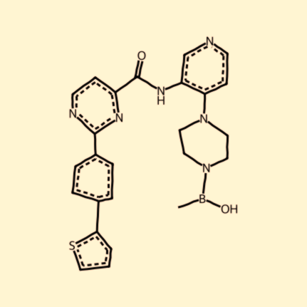 CB(O)N1CCN(c2ccncc2NC(=O)c2ccnc(-c3ccc(-c4cccs4)cc3)n2)CC1